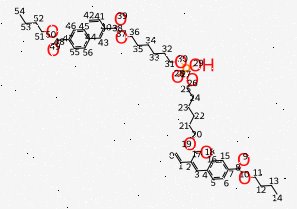 C=CC(=Cc1ccc(C(=O)OCCCC)cc1)C(=O)OCCCCCCOP(=O)(O)OCCCCCCOC(=O)C(C=C)=Cc1ccc(C(=O)OCCCC)cc1